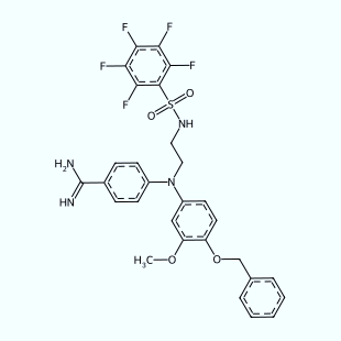 COc1cc(N(CCNS(=O)(=O)c2c(F)c(F)c(F)c(F)c2F)c2ccc(C(=N)N)cc2)ccc1OCc1ccccc1